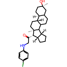 C[C@@]1(O)CC[C@H]2C(CCC3C4[C@@H]5CCC[C@@H]5[C@H](C(=O)CNc5ccc(F)cc5)[C@@]4(C)CC[C@@H]32)C1